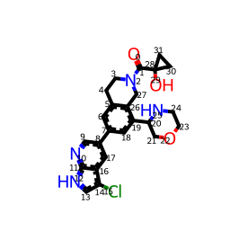 O=C(N1CCc2cc(-c3cnc4[nH]cc(Cl)c4c3)cc(C3COCCN3)c2C1)C1(O)CC1